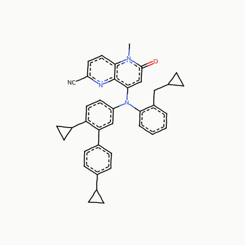 Cn1c(=O)cc(N(c2ccc(C3CC3)c(-c3ccc(C4CC4)cc3)c2)c2ccccc2CC2CC2)c2nc(C#N)ccc21